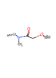 CON(C)C(=O)COC(C)(C)C